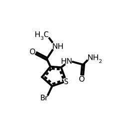 CNC(=O)c1cc(Br)sc1NC(N)=O